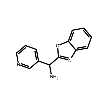 NC(c1cccnc1)c1nc2ccccc2o1